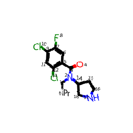 CC(C)CN(C(=O)c1cc(F)c(Cl)cc1Cl)C1CCNC1